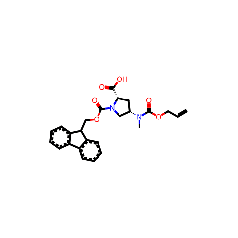 C=CCOC(=O)N(C)[C@H]1C[C@@H](C(=O)O)N(C(=O)OCC2c3ccccc3-c3ccccc32)C1